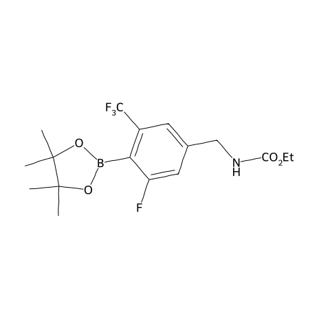 CCOC(=O)NCc1cc(F)c(B2OC(C)(C)C(C)(C)O2)c(C(F)(F)F)c1